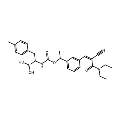 CCN(CC)C(=O)C(C#N)=Cc1cccc(C(C)OC(=O)NC(Cc2ccc(C)cc2)B(O)O)c1